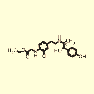 CCOC(=O)CNc1ccc(CCN[C@@H](C)[C@H](O)c2ccc(O)cc2)cc1Cl